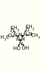 COCN(COC)c1nc(N(CO)CO)nc(N(COC)COC)n1